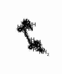 CNCC(=O)N[C@H]1CCS[C@H]2CC(C)(C)[C@@H](C(=O)N[C@H](COCCCCCCCCOC[C@@H](NC(=O)[C@H]3N4C(=O)CC(C[C@H](NC)C(N)=O)CS[C@H]4CC3(C)C)c3ccccc3)c3ccccc3)N2C1=O